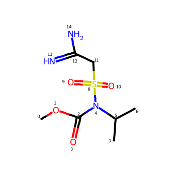 COC(=O)N(C(C)C)S(=O)(=O)CC(=N)N